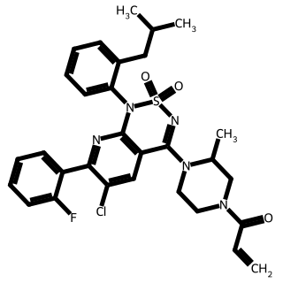 C=CC(=O)N1CCN(C2=NS(=O)(=O)N(c3ccccc3CC(C)C)c3nc(-c4ccccc4F)c(Cl)cc32)C(C)C1